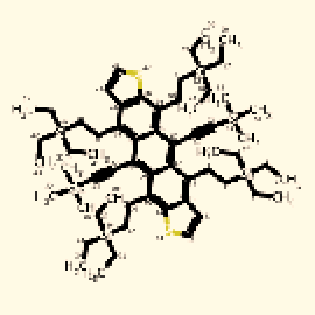 CC[Si](CC)(CC)CCc1c2ccsc2c(CC[Si](CC)(CC)CC)c2c(C#C[Si](C)(C)C)c3c(CC[Si](CC)(CC)CC)c4ccsc4c(CC[Si](CC)(CC)CC)c3c(C#C[Si](C)(C)C)c12